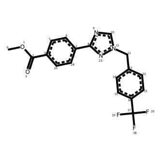 COC(=O)c1ccc(-c2ncn(Cc3ccc(C(F)(F)F)cc3)n2)cc1